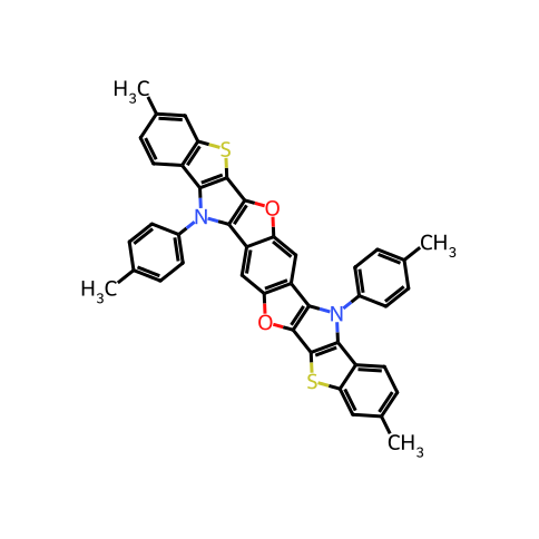 Cc1ccc(-n2c3c4cc5oc6c7sc8cc(C)ccc8c7n(-c7ccc(C)cc7)c6c5cc4oc3c3sc4cc(C)ccc4c32)cc1